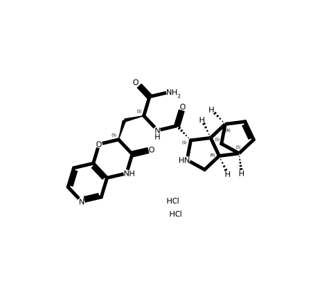 Cl.Cl.NC(=O)[C@H](C[C@@H]1Oc2ccncc2NC1=O)NC(=O)[C@H]1NC[C@H]2[C@@H]1[C@H]1C=C[C@@H]2C1